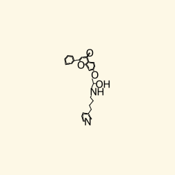 O=c1cc(-c2ccccc2)oc2cc(OCC(O)CNCCCCc3cccnc3)ccc12